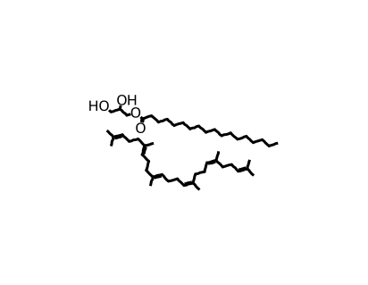 CC(C)=CCCC(C)=CCCC(C)=CCCC=C(C)CCC=C(C)CCC=C(C)C.CCCCCCCCCCCCCCCCCC(=O)OCC(O)CO